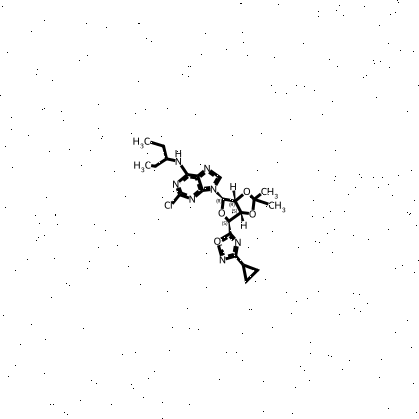 CCC(CC)Nc1nc(Cl)nc2c1ncn2[C@@H]1O[C@H](c2nc(C3CC3)no2)[C@H]2OC(C)(C)O[C@H]21